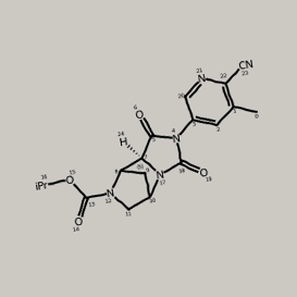 Cc1cc(N2C(=O)[C@@H]3C4CC(CN4C(=O)OC(C)C)N3C2=O)cnc1C#N